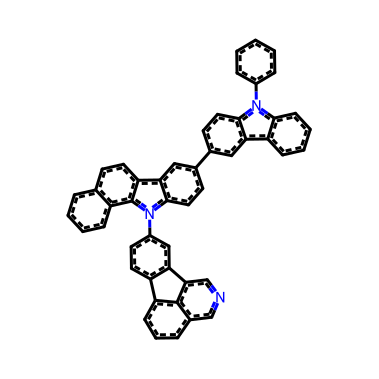 c1ccc(-n2c3ccccc3c3cc(-c4ccc5c(c4)c4ccc6ccccc6c4n5-c4ccc5c(c4)-c4cncc6cccc-5c46)ccc32)cc1